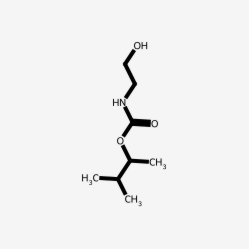 CC(C)C(C)OC(=O)NCCO